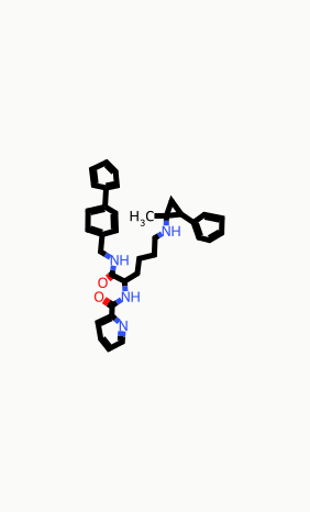 CC1(NCCCCC(NC(=O)c2ccccn2)C(=O)NCc2ccc(-c3ccccc3)cc2)CC1c1ccccc1